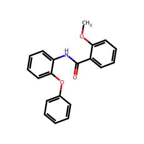 COc1ccccc1C(=O)Nc1ccccc1Oc1ccccc1